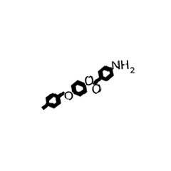 Cc1ccc(COc2ccc(OC(=O)c3ccc(N)cc3)cc2)cc1